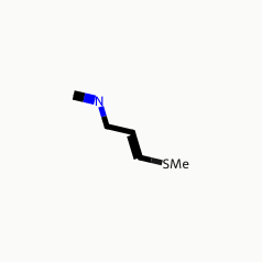 C=NC/C=C/SC